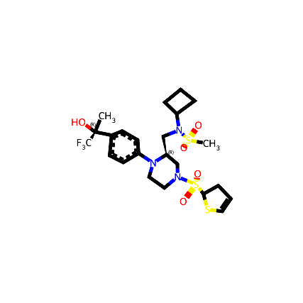 C[C@@](O)(c1ccc(N2CCN(S(=O)(=O)C3CC=CS3)C[C@@H]2CN(C2CCC2)S(C)(=O)=O)cc1)C(F)(F)F